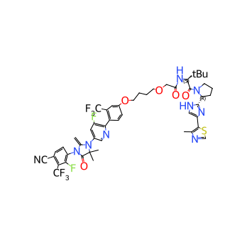 C=C1N(c2ccc(C#N)c(C(F)(F)F)c2F)C(=O)C(C)(C)N1c1cnc(-c2ccc(OCCCCOCC(=O)N[C@H](C(=O)N3CCC[C@@H]3c3nc(-c4scnc4C)c[nH]3)C(C)(C)C)cc2C(F)(F)F)c(F)c1